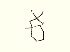 CC1([CH]C(F)(F)F)CCCCC1